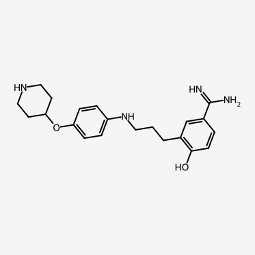 N=C(N)c1ccc(O)c(CCCNc2ccc(OC3CCNCC3)cc2)c1